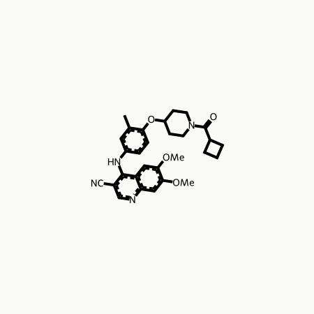 COc1cc2ncc(C#N)c(Nc3ccc(OC4CCN(C(=O)C5CCC5)CC4)c(C)c3)c2cc1OC